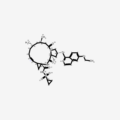 CCOc1ccc2c(O[C@@H]3C[C@H]4C(=O)N[C@]5(C(=O)NS(=O)(=O)C6CC6)CC5/C=C\CC[C@H](C)C[C@@H](C)CC(=O)N4C3)nccc2c1